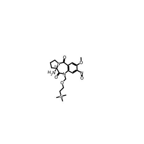 COc1cc2c(cc1N=O)N(COCC[Si](C)(C)C)C(=O)[C@]1(N)CCCN1C2=O